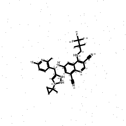 Cc1nc(F)ccc1[C@H](Nc1cc(C#N)c2ncc(C#N)c(NCC(C)(C)C(F)(F)F)c2c1)C1=CN(C2(C)CC2)NN1